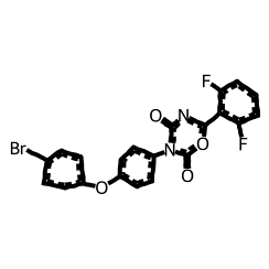 O=c1nc(-c2c(F)cccc2F)oc(=O)n1-c1ccc(Oc2ccc(Br)cc2)cc1